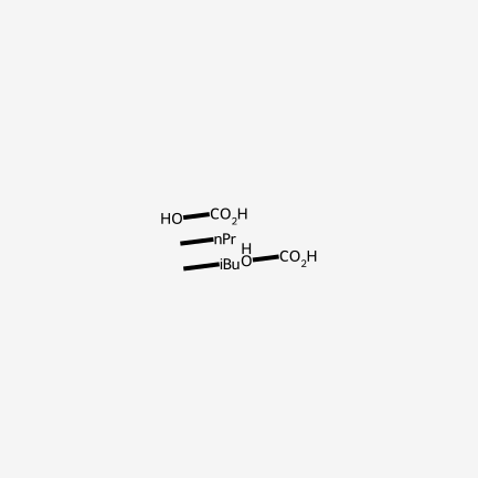 CCC(C)C.CCCC.O=C(O)O.O=C(O)O